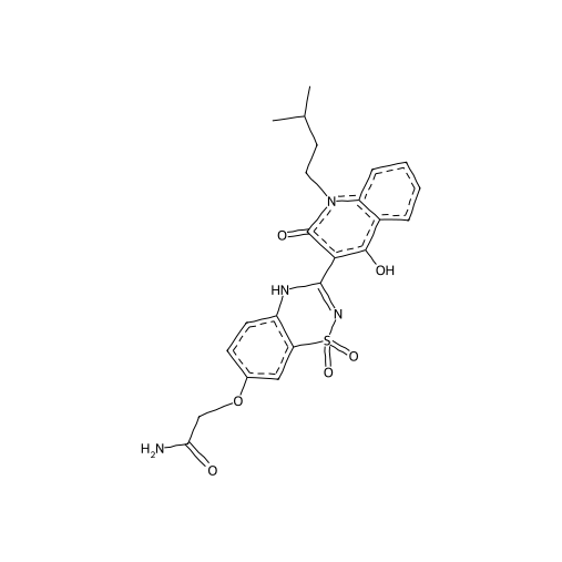 CC(C)CCn1c(=O)c(C2=NS(=O)(=O)c3cc(OCC(N)=O)ccc3N2)c(O)c2ccccc21